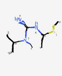 CSC(C)NC(=N)N(C)C(C)C